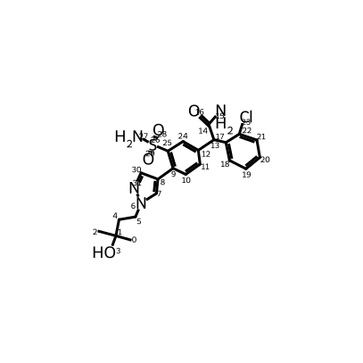 CC(C)(O)CCn1cc(-c2ccc(C(C(N)=O)c3ccccc3Cl)cc2S(N)(=O)=O)cn1